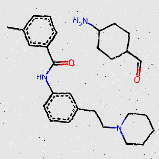 Cc1cccc(C(=O)Nc2cccc(CCN3CCCCC3)c2)c1.NC1CCC(C=O)CC1